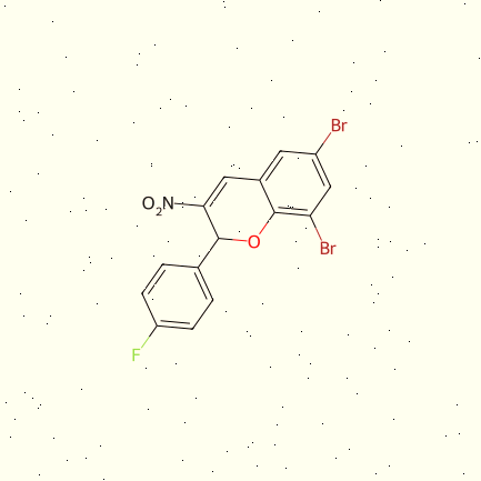 O=[N+]([O-])C1=Cc2cc(Br)cc(Br)c2OC1c1ccc(F)cc1